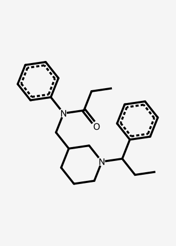 CCC(=O)N(CC1CCCN(C(CC)c2ccccc2)C1)c1ccccc1